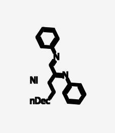 CCCCCCCCCCCCC(C=Nc1ccccc1)=Nc1ccccc1.[Ni]